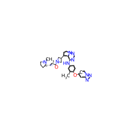 Cc1cc(Nc2ncnn3ccc(C4CN(C(=O)/C=C/[C@@H]5CCCN5C)C4)c23)ccc1Oc1ccn2ncnc2c1